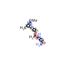 COc1cnc2c(-c3nc4cc(F)c(OCC(C)OC(=O)Nc5ccc(C(N)=O)nc5)cc4s3)cc(C)cc2n1